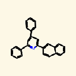 c1ccc(-c2cc(-c3ccccc3)nc(-c3ccc4ccccc4c3)c2)cc1